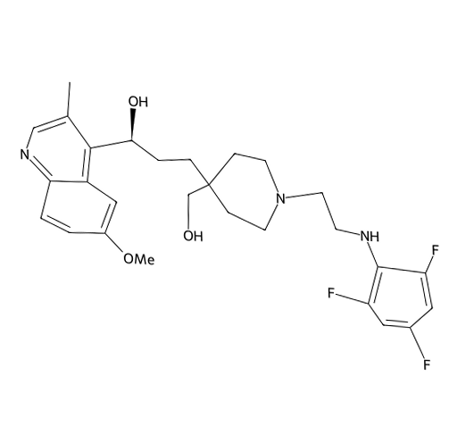 COc1ccc2ncc(C)c([C@@H](O)CCC3(CO)CCN(CCNc4c(F)cc(F)cc4F)CC3)c2c1